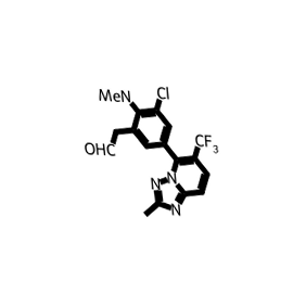 CNc1c(Cl)cc(-c2c(C(F)(F)F)ccc3nc(C)nn23)cc1CC=O